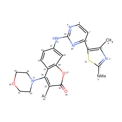 CNc1nc(C)c(-c2ccnc(Nc3ccc4c(N5CCOCC5)c(C(C)=O)c(=O)oc4c3)n2)s1